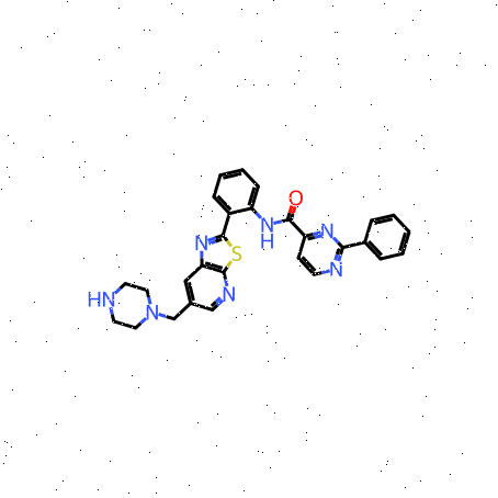 O=C(Nc1ccccc1-c1nc2cc(CN3CCNCC3)cnc2s1)c1ccnc(-c2ccccc2)n1